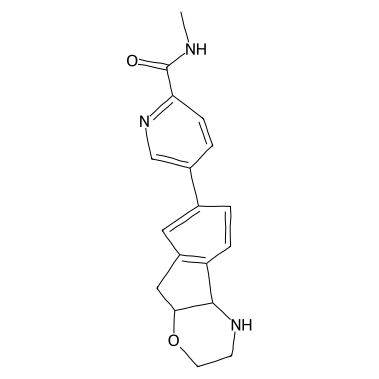 CNC(=O)c1ccc(-c2ccc3c(c2)CC2OCCNC32)cn1